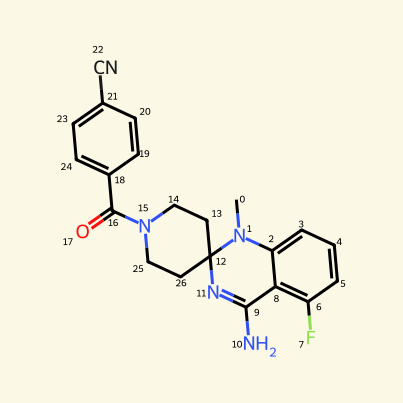 CN1c2cccc(F)c2C(N)=NC12CCN(C(=O)c1ccc(C#N)cc1)CC2